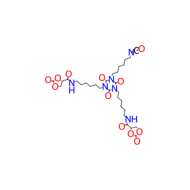 O=C=NCCCCCCn1c(=O)n(CCCCCCNC(=O)C2COC(=O)O2)c(=O)n(CCCCCCNC(=O)C2COC(=O)O2)c1=O